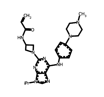 C=CC(=O)NC1CN(c2nc(Nc3ccc(N4CCN(C)CC4)cc3)c3ncn(C(C)C)c3n2)C1